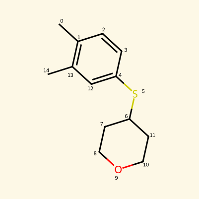 Cc1ccc(SC2CCOCC2)cc1C